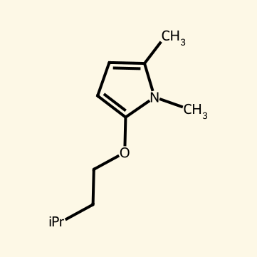 Cc1ccc(OCCC(C)C)n1C